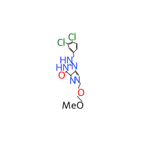 COCCOCCn1cc2nc(NCc3ccc(Cl)c(Cl)c3)[nH]c(=O)c2n1